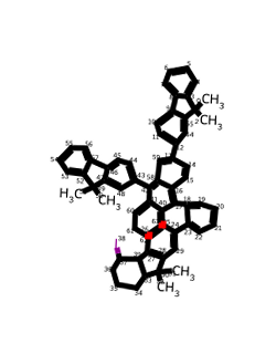 CC1(C)c2ccccc2-c2ccc(-c3ccc4c(-c5ccccc5-c5ccc6c(c5)C(C)(C)C5CCCC(I)C65)c5c(c(-c6ccc7c(c6)C(C)(C)c6ccccc6-7)c4c3)=CCCC=5)cc21